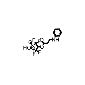 O=C(CCNc1ccccc1)OC(C(F)(F)F)C(F)(F)S(=O)(=O)O